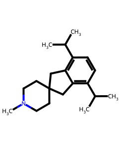 CC(C)c1ccc(C(C)C)c2c1CC1(CCN(C)CC1)C2